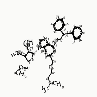 COC[C@H]1O[C@@H](n2cnc3c(NCC(c4ccccc4)c4ccccc4)nc(COCCN(C)C)nc32)[C@H](O)[C@@H]1O